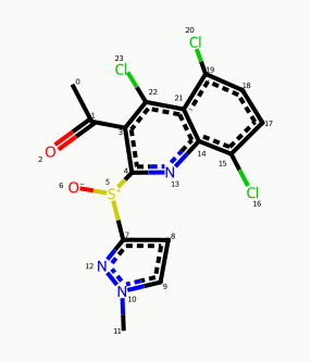 CC(=O)c1c([S+]([O-])c2ccn(C)n2)nc2c(Cl)ccc(Cl)c2c1Cl